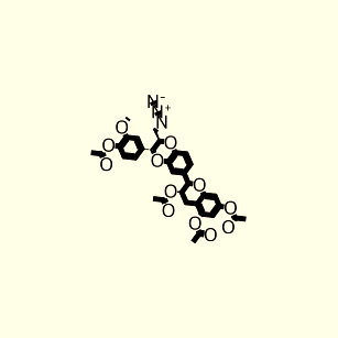 COc1cc([C@H]2Oc3cc(C4Oc5cc(OC(C)=O)cc(OC(C)=O)c5C[C@@H]4OC(C)=O)ccc3O[C@@H]2CN=[N+]=[N-])ccc1OC(C)=O